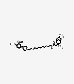 COc1cc(N2CCN(CCCCCCCCCCCCNC(=O)CC3(C)CC4CC(C)CC(C4)C3)CC2)ccc1[N+](=O)[O-]